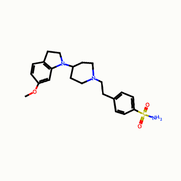 COc1ccc2c(c1)N(C1CCN(CCc3ccc(S(N)(=O)=O)cc3)CC1)CC2